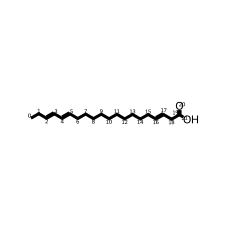 CCC=CC=CCCCCCCCCCCC=CCC(=O)O